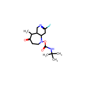 CC1C(=O)CCN(OC(=O)NC(C)(C)C)C2CC(F)=NCC12